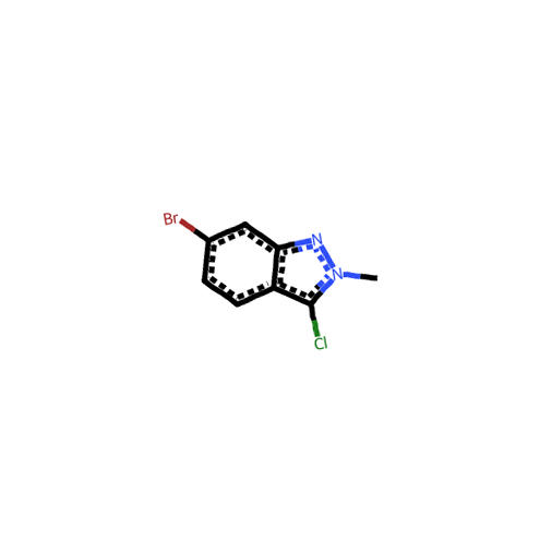 Cn1nc2cc(Br)ccc2c1Cl